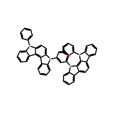 C1=C=CC(n2c3ccccc3c3ccc4c5ccccc5n(-c5cccc(-n6c7ccccc7c7c8c9ccccc9n(-c9ccccc9)c8ccc76)c5)c4c32)=CC=1